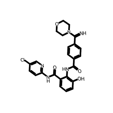 N=C(c1ccc(C(=O)Nc2c(O)cccc2C(=O)Nc2ccc(Cl)cn2)cc1)N1CCOCC1